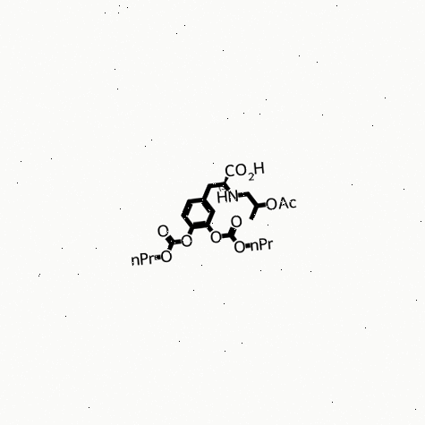 CCCOC(=O)Oc1ccc(C[C@H](NCC(C)OC(C)=O)C(=O)O)cc1OC(=O)OCCC